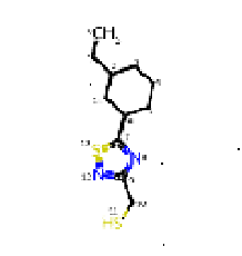 CCC1CCCC(c2nc(CS)ns2)C1